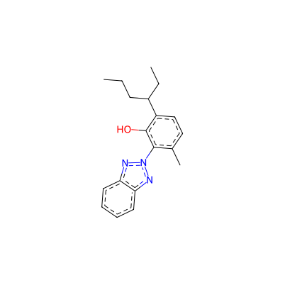 CCCC(CC)c1ccc(C)c(-n2nc3ccccc3n2)c1O